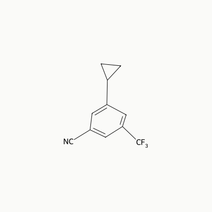 N#Cc1cc(C2CC2)cc(C(F)(F)F)c1